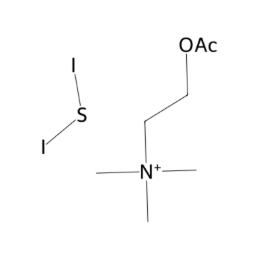 CC(=O)OCC[N+](C)(C)C.ISI